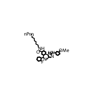 CCCOCCCCCCCNC(=O)c1ccc2c(c1)C(c1ccccc1F)=NCc1cnc(Nc3cccc(OC)c3)nc1-2